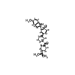 Cc1ccc2[nH]c(-c3cc(N4CCC[C@@H](C(=O)N5CCC(N(C)C)CC5)C4)ccc3Cl)nc2c1